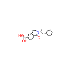 CC(Cc1ccccc1)n1ccc2cc(B(O)O)ccc2c1=O